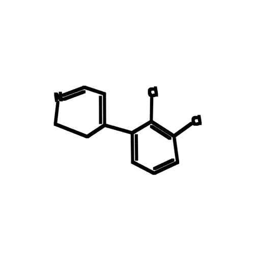 Clc1cccc(C2=CC=NCC2)c1Cl